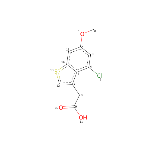 COc1cc(Cl)c2c(CC(=O)O)csc2c1